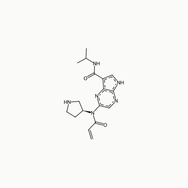 C=CC(=O)N(c1cnc2[nH]cc(C(=O)NC(C)C)c2n1)[C@H]1CCNC1